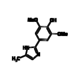 COc1cc(-c2ncc(C)[nH]2)cc(OC)c1O